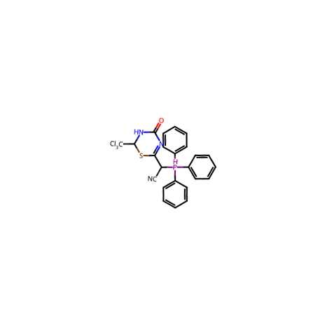 N#CC(C1=NC(=O)NC(C(Cl)(Cl)Cl)S1)[PH](c1ccccc1)(c1ccccc1)c1ccccc1